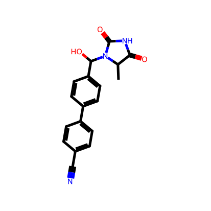 CC1C(=O)NC(=O)N1C(O)c1ccc(-c2ccc(C#N)cc2)cc1